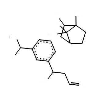 CC(C)c1cccc(C(C)CC=O)c1.CC1(C)C2CCC1(C)C(O)C2